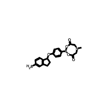 Bc1ccc2c(c1)CCC2Oc1ccc(B2OC(=O)CN(C)CC(=O)O2)cc1